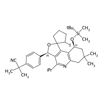 CC(C)c1nc2c(c3c1[C@@H](c1ccc(C(C)(C)C#N)cc1)OC31CCCC1I)[C@@H](O[Si](C)(C)C(C)(C)C)CC(C)(C)C2